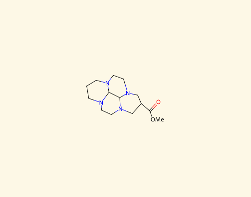 COC(=O)C1CN2CCN3CCCN4CCN(C1)C2C34